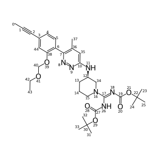 CC#Cc1ccc(-c2nnc(N[C@@H]3CCCN(C(=NC(=O)OC(C)(C)C)NC(=O)OC(C)(C)C)C3)cc2C)c(OCOCC)c1